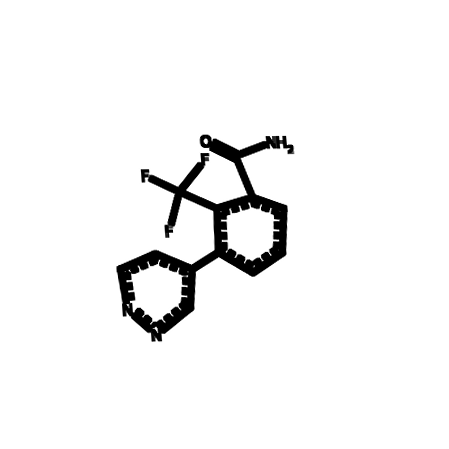 NC(=O)c1cccc(-c2ccnnc2)c1C(F)(F)F